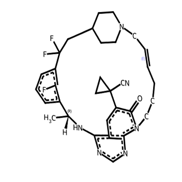 C[C@H]1Nc2ncnc3c2cc(C2(C#N)CC2)c(=O)n3CCC/C=C/CN2CCC(CC2)CC(F)(F)c2cccc1c2F